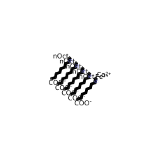 CCCCCCCC/C=C\CCCCCCCC(=O)[O-].CCCCCCCC/C=C\CCCCCCCC(=O)[O-].CCCCCCCC/C=C\CCCCCCCC(=O)[O-].CCCCCCCC/C=C\CCCCCCCC(=O)[O-].CCCCCCCC/C=C\CCCCCCCC(=O)[O-].[Co+2].[Fe+3]